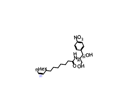 CCCCCC/C=C\CCCCCCCC(=O)N[C@H](CO)[C@@H](O)c1ccc([N+](=O)[O-])cc1